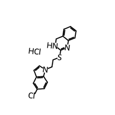 Cl.Clc1ccc2c(ccn2CCSC2=Nc3ccccc3CN2)c1